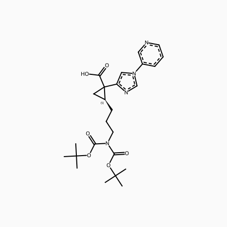 CC(C)(C)OC(=O)N(CCC[C@H]1CC1(C(=O)O)c1cn(-c2cccnc2)cn1)C(=O)OC(C)(C)C